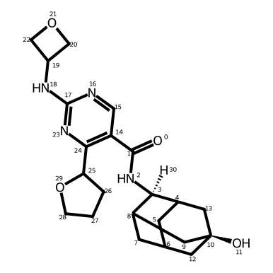 O=C(N[C@H]1C2CC3CC1C[C@@](O)(C3)C2)c1cnc(NC2COC2)nc1C1CCCO1